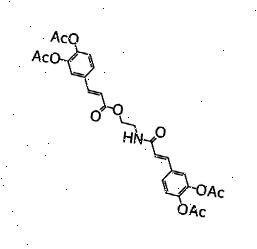 CC(=O)Oc1ccc(/C=C/C(=O)NCCOC(=O)/C=C/c2ccc(OC(C)=O)c(OC(C)=O)c2)cc1OC(C)=O